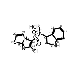 Cl.O=S(=O)(NC1CNc2ccccc21)c1c(Cl)nc2sccn12